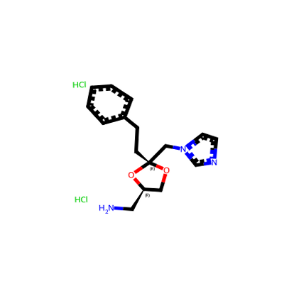 Cl.Cl.NC[C@@H]1CO[C@@](CCc2ccccc2)(Cn2ccnc2)O1